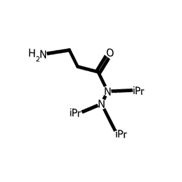 CC(C)N(C(=O)CCN)N(C(C)C)C(C)C